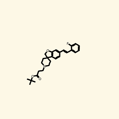 CC(C)(C)OC(=O)CCN1CCC2(CC1)COc1cc(C=Cc3ccccc3F)ccc12